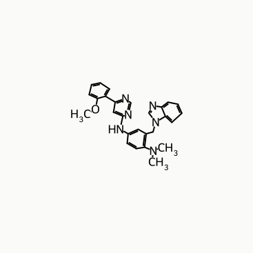 COc1ccccc1-c1cc(Nc2ccc(N(C)C)c(Cn3cnc4ccccc43)c2)ncn1